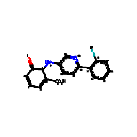 O=C(O)C1=CC=CC(=O)C1Nc1ccc(-c2ccccc2F)nc1